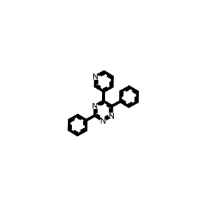 c1ccc(-c2nnc(-c3ccccc3)c(-c3cccnc3)n2)cc1